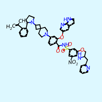 C=C(C)c1ccccc1C1CCCN1C1CC2(CCN(c3ccc(C(=O)NS(=O)(=O)c4cc5c(c([N+](=O)[O-])c4)NC(Cc4ccccn4)CO5)c(Oc4cnc5[nH]ccc5c4)c3)CC2)C1